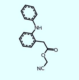 N#CCOC(=O)Cc1ccccc1Nc1ccccc1